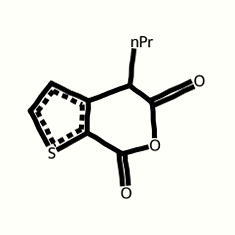 CCCC1C(=O)OC(=O)c2sccc21